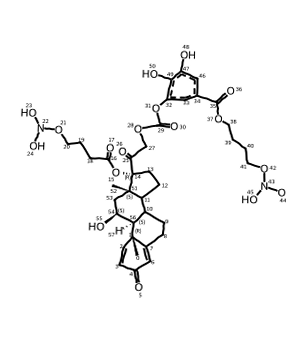 C[C@]12C=CC(=O)C=C1CCC1C3CC[C@](OC(=O)CCCON(O)O)(C(=O)COC(=O)Oc4cc(C(=O)OCCCCON(O)O)cc(O)c4O)[C@@]3(C)C[C@H](O)[C@@H]12